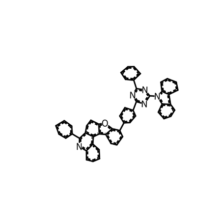 c1ccc(-c2nc(-c3ccc(-c4cccc5c4oc4ccc6c(-c7ccccc7)nc7ccccc7c6c45)cc3)nc(-n3c4ccccc4c4ccccc43)n2)cc1